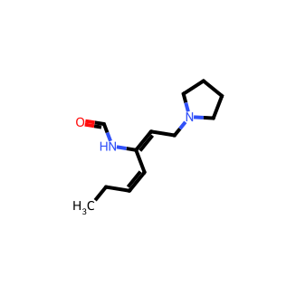 CC/C=C\C(=C/CN1CCCC1)NC=O